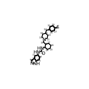 O=C(Nc1ccc2[nH]ncc2c1)NC1CCCCC1CN1CCC(Cc2ccc(F)cc2)CC1